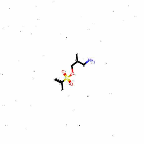 C=C(C)S(=O)(=O)OCC(C)CN